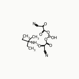 CCC(N)(CC)CC.N#CC(=O)C(=O)OB(O)OC(=O)C(=O)C#N